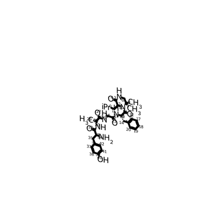 CC(C)CC1C(=O)NCC(C)(C)N1C(=O)[C@H](Cc1ccccc1)NC(=O)CNC(=O)[C@@H](C)NC(=O)C(N)Cc1ccc(O)cc1